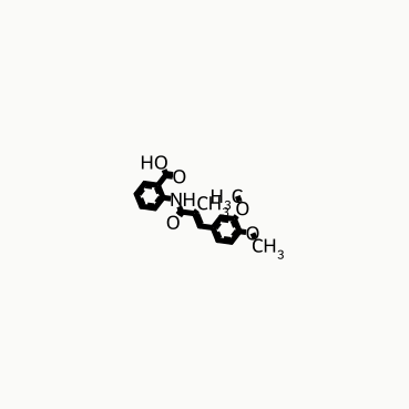 COc1ccc(/C=C(\C)C(=O)Nc2ccccc2C(=O)O)cc1OC